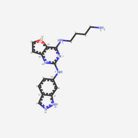 NCCCCNc1nc(Nc2ccc3cn[nH]c3c2)nc2ccoc12